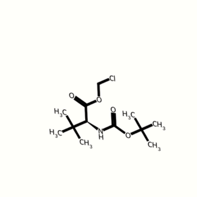 CC(C)(C)OC(=O)N[C@H](C(=O)OCCl)C(C)(C)C